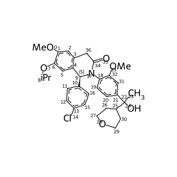 COc1cc2c(cc1OC(C)C)[C@H](c1ccc(Cl)cc1)N(c1ccc(C(C)(O)C3CCOCC3)cc1OC)C(=O)C2